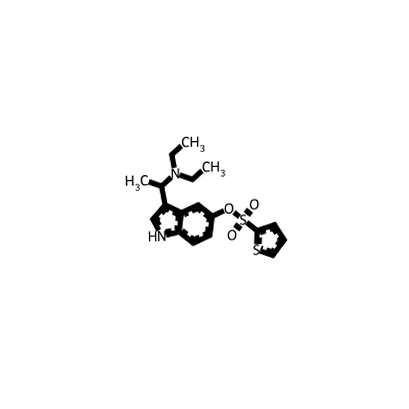 CCN(CC)C(C)c1c[nH]c2ccc(OS(=O)(=O)c3cccs3)cc12